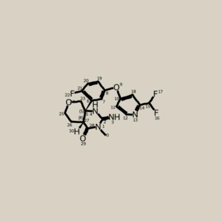 CN1C(=N)N[C@@]2(c3cc(Oc4ccnc(C(F)F)c4)ccc3F)COCC[C@H]2C1=O